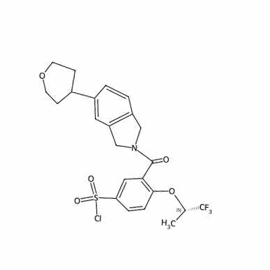 C[C@H](Oc1ccc(S(=O)(=O)Cl)cc1C(=O)N1Cc2ccc(C3CCOCC3)cc2C1)C(F)(F)F